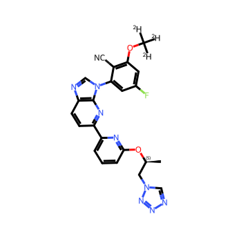 [2H]C([2H])([2H])Oc1cc(F)cc(-n2cnc3ccc(-c4cccc(O[C@@H](C)Cn5cnnn5)n4)nc32)c1C#N